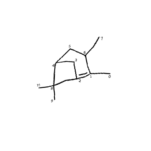 CC1=C2CC(CC1C)C2(C)C